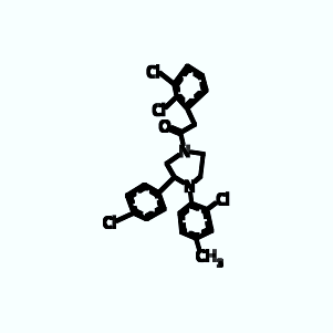 Cc1ccc(N2CCN(C(=O)Cc3cccc(Cl)c3Cl)CC2c2ccc(Cl)cc2)c(Cl)c1